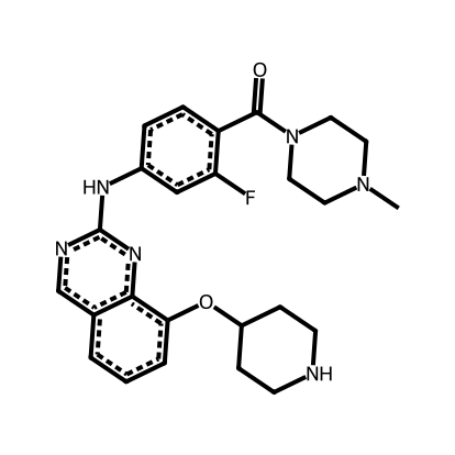 CN1CCN(C(=O)c2ccc(Nc3ncc4cccc(OC5CCNCC5)c4n3)cc2F)CC1